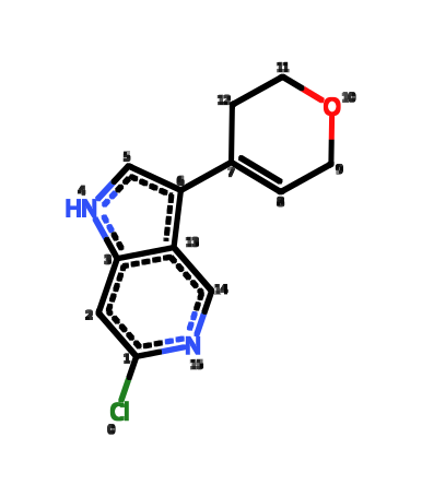 Clc1cc2[nH]cc(C3=CCOCC3)c2cn1